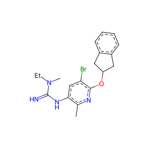 CCN(C)C(=N)Nc1cc(Br)c(OC2Cc3ccccc3C2)nc1C